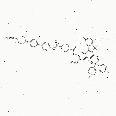 CCCCCC1CCC(c2ccc(-c3ccc(OC(=O)C4CCC(C(=O)Oc5cc6c7c(c8c(c6cc5OC)OC(c5ccc(F)cc5)(c5ccc(F)cc5)C=C8)C(C)(C)c5c-7cc(C)cc5C(F)(F)F)CC4)cc3)cc2)CC1